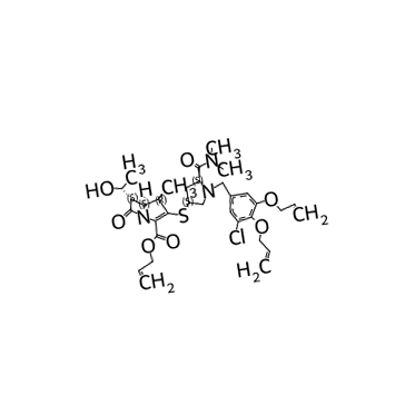 C=CCOC(=O)C1=C(S[C@H]2C[C@@H](C(=O)N(C)C)N(Cc3cc(Cl)c(OCC=C)c(OCC=C)c3)C2)[C@H](C)[C@@H]2[C@@H](C(C)O)C(=O)N12